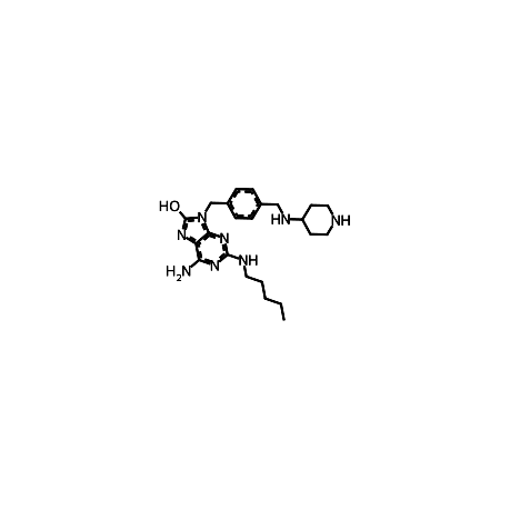 CCCCCNc1nc(N)c2nc(O)n(Cc3ccc(CNC4CCNCC4)cc3)c2n1